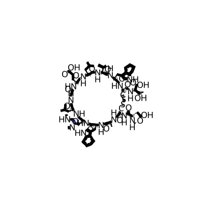 C=N/C(=C\NC)C[C@@H]1NC(=O)[C@H](Cc2c[nH]c3ccccc23)NC(=O)[C@H](C)NC(=O)[C@@H](NC(=O)[C@H](CC(=O)O)NC)CSSC[C@@H](C(=O)N[C@H](C(=O)O)[C@@H](C)O)NC(=O)[C@H](Cc2c[nH]c3ccccc23)NC(=O)[C@H](C(=C)C)NC(=O)[C@H](CC(C)C)NC(=O)[C@H](CCC(=O)O)NC(=O)CNC(=O)[C@H](CC(C)C)NC1=O